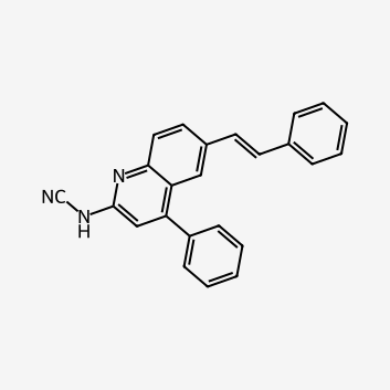 N#CNc1cc(-c2ccccc2)c2cc(C=Cc3ccccc3)ccc2n1